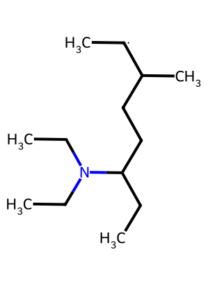 C[CH]C(C)CCC(CC)N(CC)CC